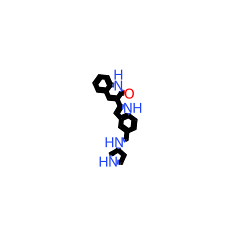 O=c1[nH]c2ccccc2cc1-c1cc2cc(CNC3CCNC3)ccc2[nH]1